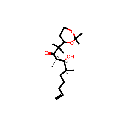 C=CCCC[C@H](C)[C@H](O)[C@H](C)C(=O)C(C)(C)C1CCOC(C)(C)O1